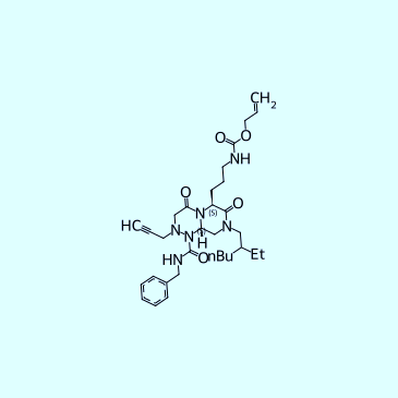 C#CCN1CC(=O)N2[C@@H](CCCNC(=O)OCC=C)C(=O)N(CC(CC)CCCC)C[C@@H]2N1C(=O)NCc1ccccc1